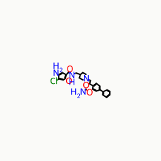 COc1cc(Cl)c(N)cc1C(=O)NCC1CCN(CC(OC(N)=O)c2ccc(-c3ccccc3)cc2)CC1